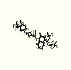 CC(C)(C)[Si](C)(C)OC(CC(F)(F)F)c1cc(F)c(CNC2CC(Oc3ccc(F)c(C(F)(F)F)c3)C2)c2ccncc12